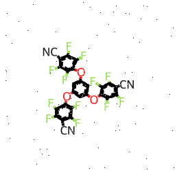 N#Cc1c(F)c(F)c(Oc2cc(Oc3c(F)c(F)c(C#N)c(F)c3F)cc(Oc3c(F)c(F)c(C#N)c(F)c3F)c2)c(F)c1F